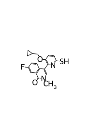 Cn1cc(-c2nc(S)ccc2OCC2CC2)c2ccc(F)cc2c1=O